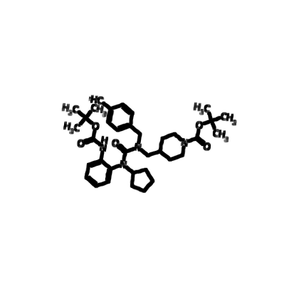 [CH]c1ccc(CN(CC2CCN(C(=O)OC(C)(C)C)CC2)C(=O)N(c2ccccc2NC(=O)OC(C)(C)C)C2CCCC2)cc1